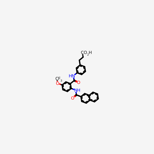 O=C(O)CCc1cccc(NC(=O)c2cc(OC(F)(F)F)ccc2NC(=O)c2ccc3ccccc3c2)c1